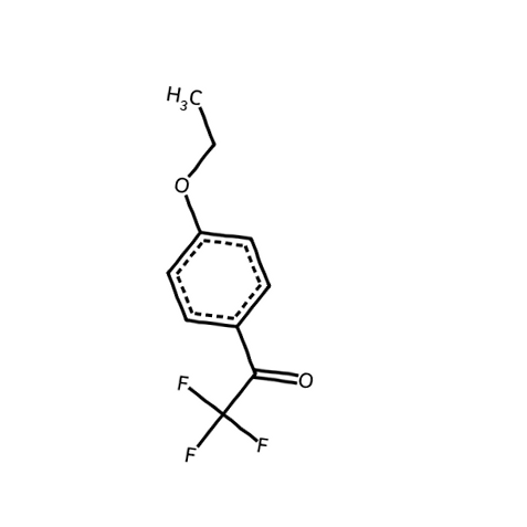 CCOc1ccc(C(=O)C(F)(F)F)cc1